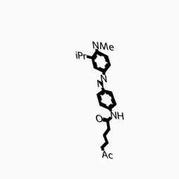 CNc1ccc(N=Nc2ccc(NC(=O)CCCCC(C)=O)cc2)cc1C(C)C